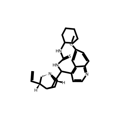 C=C[C@@H]1C[N@]2CCC1C[C@H]2C(NC(=S)NC1CCCCC1)c1ccnc2ccc(OC)cc12